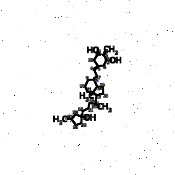 C=C1[C@H](O)CC(=C/C=C2\CCC[C@@]3(C)C2CCC3[C@@H](C)CCCC2(O)CCC(C)C2)C[C@H]1O